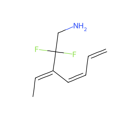 C=C/C=C\C(=C/C)C(F)(F)CN